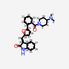 CN(C)C1CCN(C(=O)c2ccccc2-c2ccc(/C=C3/C(=O)Nc4ccccc43)o2)CC1